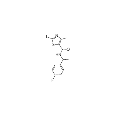 Cc1nc(I)sc1C(=O)NC(C)c1ccc(F)cc1